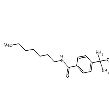 COCCCCCCNC(=O)c1ccc(C(N)(N)C(F)(F)F)cc1